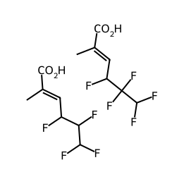 CC(=CC(F)C(F)(F)C(F)F)C(=O)O.CC(=CC(F)C(F)C(F)F)C(=O)O